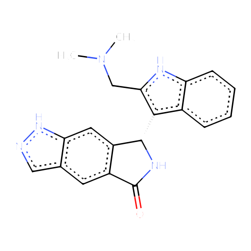 CN(C)Cc1[nH]c2ccccc2c1[C@@H]1NC(=O)c2cc3cn[nH]c3cc21